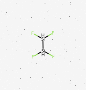 F[SiH](F)[SiH](F)F